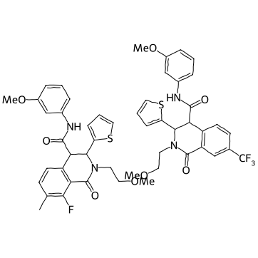 COCCN1C(=O)c2c(ccc(C)c2F)C(C(=O)Nc2cccc(OC)c2)C1c1cccs1.COCCN1C(=O)c2cc(C(F)(F)F)ccc2C(C(=O)Nc2cccc(OC)c2)C1c1cccs1